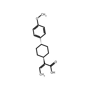 CC=C(C(=O)O)[C@H]1CC[C@H](c2ccc(OC)cc2)CC1